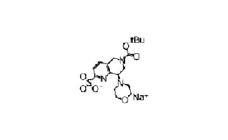 CC(C)(C)OC(=O)N1Cc2ccc(S(=O)(=O)[O-])nc2C(N2CCOCC2)C1.[Na+]